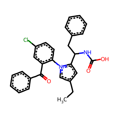 CCc1cc(C(Cc2ccccc2)NC(=O)O)n(-c2ccc(Cl)cc2C(=O)c2ccccc2)c1